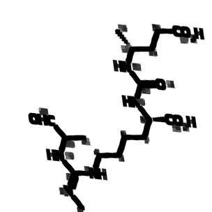 C/N=C(\NCCCC[C@H](NC(=O)N[C@H](C)CCC(=O)O)C(=O)O)NC(C)C=O